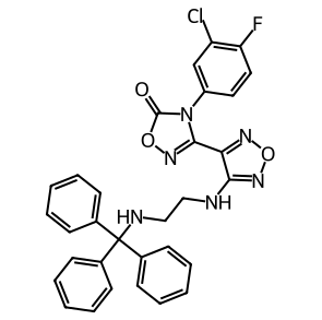 O=c1onc(-c2nonc2NCCNC(c2ccccc2)(c2ccccc2)c2ccccc2)n1-c1ccc(F)c(Cl)c1